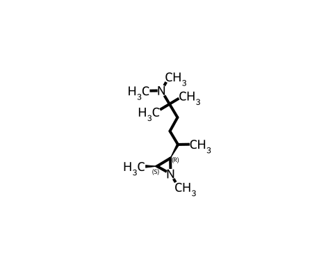 CC(CCC(C)(C)N(C)C)[C@@H]1[C@H](C)N1C